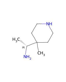 C[C@@H](N)C1(C)CCNCC1